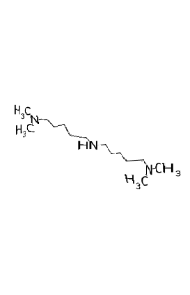 CN(C)CCCCCNCCCCCN(C)C